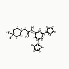 O=C(CN1CCC(F)(F)CC1)Nc1cc(-c2nccs2)nc(-c2cccs2)n1